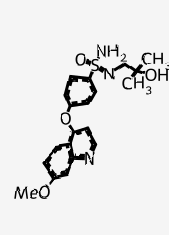 COc1ccc2c(Oc3ccc(S(N)(=O)=NCC(C)(C)O)cc3)ccnc2c1